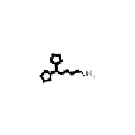 NCCCCC(C1CCCC1)C1CCCC1